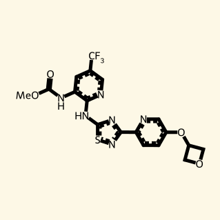 COC(=O)Nc1cc(C(F)(F)F)cnc1Nc1nc(-c2ccc(OC3COC3)cn2)ns1